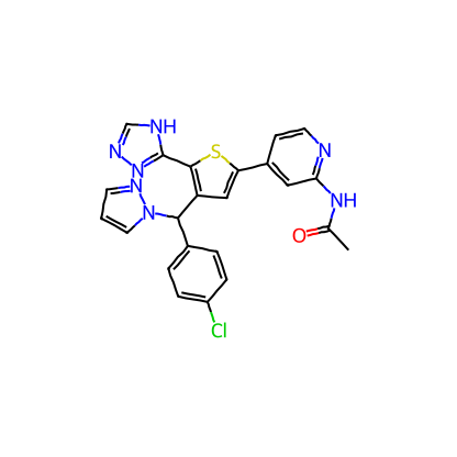 CC(=O)Nc1cc(-c2cc(C(c3ccc(Cl)cc3)n3cccn3)c(-c3nnc[nH]3)s2)ccn1